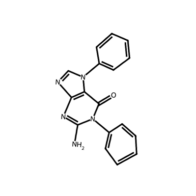 Nc1nc2ncn(-c3ccccc3)c2c(=O)n1-c1ccccc1